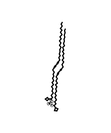 CCCCCCCCCCCCCCCCCCCC#CC#CCCCCCCCCCCCCCCC(O[PH](=O)OC(CCCCCCCCCCCCCCC#CC#CCCCCCCCCCCCCCCCCCCC)C1CCC1)C1CCC1